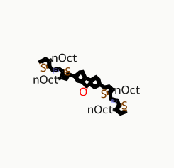 CCCCCCCCc1ccsc1/C=C/c1sc(-c2ccc3c(c2)C(=O)c2cc(-c4cc(CCCCCCCC)c(/C=C/c5sccc5CCCCCCCC)s4)ccc2-3)cc1CCCCCCCC